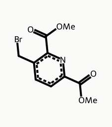 COC(=O)c1ccc(CBr)c(C(=O)OC)n1